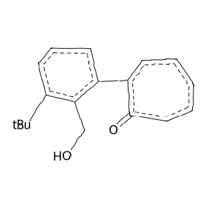 CC(C)(C)c1cccc(-c2cccccc2=O)c1CO